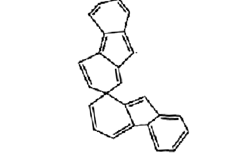 [C]1=c2ccccc2=C2C=CC3(C=CC=C4C3=Cc3ccccc34)C=C12